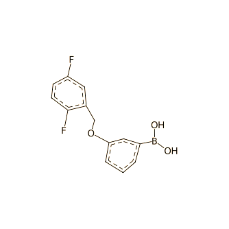 OB(O)c1cccc(OCc2cc(F)ccc2F)c1